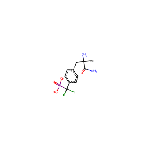 CC(=O)C(N)(Cc1ccc(C(F)(F)P(=O)(O)O)cc1)C(N)=O